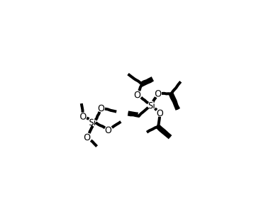 C=C[Si](OC(=C)C)(OC(=C)C)OC(=C)C.CO[Si](OC)(OC)OC